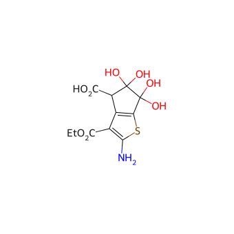 CCOC(=O)c1c(N)sc2c1C(C(=O)O)C(O)(O)C2(O)O